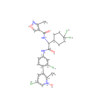 Cc1nocc1C(=O)NC(C(=O)Nc1ccc(-c2cc(Cl)c[n+]([O-])c2C)c(F)c1)C1CCC(F)(F)CC1